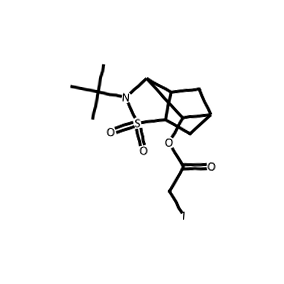 CC(C)(C)N1C2C3CC(CC3S1(=O)=O)C2OC(=O)CI